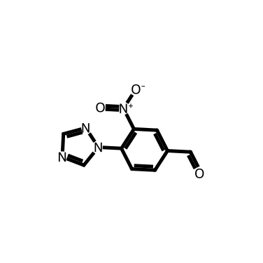 O=Cc1ccc(-n2cncn2)c([N+](=O)[O-])c1